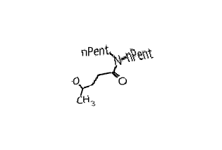 CCCCCN(CCCCC)C(=O)CCC(C)[O]